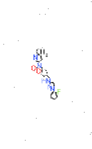 Cc1ccc(N2CC3(CCC(CNc4ccn(-c5ccccc5F)n4)CC3)OC2=O)cn1